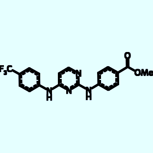 COC(=O)c1ccc(Nc2nccc(Nc3ccc(C(F)(F)F)cc3)n2)cc1